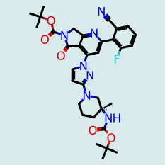 CC(C)(C)OC(=O)N[C@]1(C)CCCN(c2ccn(-c3cc(-c4c(F)cccc4C#N)nc4c3C(=O)N(C(=O)OC(C)(C)C)C4)n2)C1